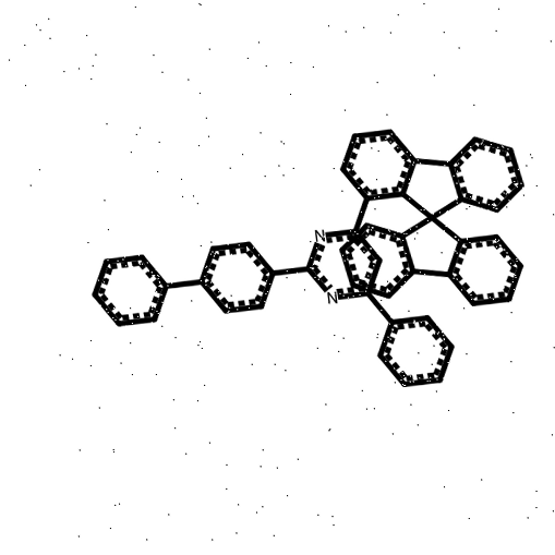 c1ccc(-c2ccc(-c3nc(-c4ccccc4)cc(-c4cccc5c4C4(c6ccccc6-c6ccccc64)c4ccccc4-5)n3)cc2)cc1